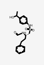 CC(O)c1ccc(NS(=O)(=O)C[C@H](CCc2ccccc2)NC=O)cc1